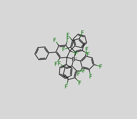 FC1=C(F)C(F)(c2ccccc2)C(c2ccccc2)([B-](c2c(F)cc(F)c(F)c2F)(c2c(F)cc(F)c(F)c2F)c2c(F)cc(F)c(F)c2F)C(F)=C1c1ccccc1